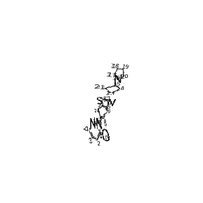 O=c1cccnn1-c1ccc2nc([C@H]3C[C@H](N4CCCC4)C3)sc2c1